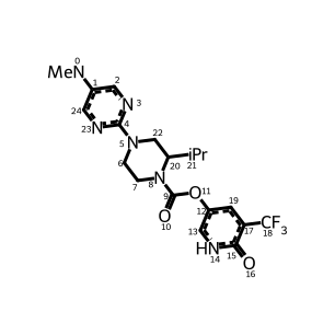 CNc1cnc(N2CCN(C(=O)Oc3c[nH]c(=O)c(C(F)(F)F)c3)C(C(C)C)C2)nc1